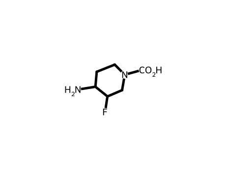 NC1CCN(C(=O)O)CC1F